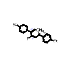 C=C(/C=C(F)\C(=C/C)c1ccc(CC)cc1)c1ccc(CC)cc1